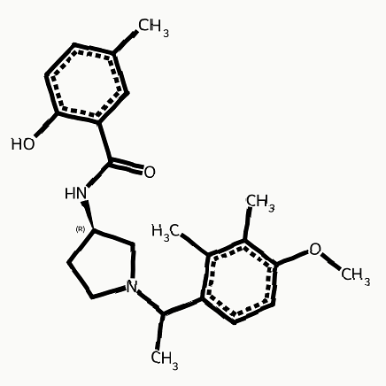 COc1ccc(C(C)N2CC[C@@H](NC(=O)c3cc(C)ccc3O)C2)c(C)c1C